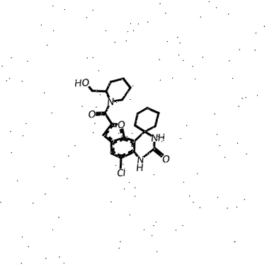 O=C1Nc2c(Cl)cc3cc(C(=O)N4CCCCC4CO)oc3c2C2(CCCCC2)N1